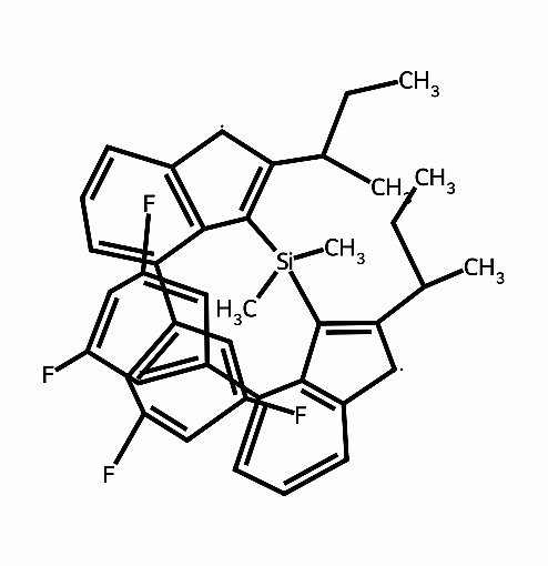 CCC(C)C1=C([Si](C)(C)C2=C(C(C)CC)[CH]c3cccc(-c4cc(F)cc(F)c4)c32)c2c(cccc2-c2cc(F)cc(F)c2)[CH]1